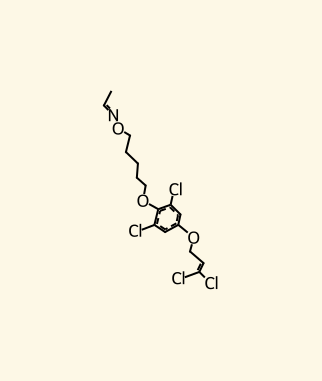 CC=NOCCCCCOc1c(Cl)cc(OCC=C(Cl)Cl)cc1Cl